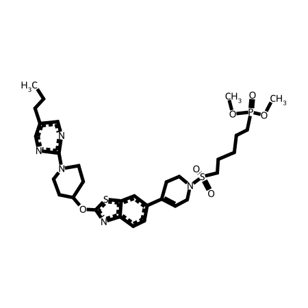 CCCc1cnc(N2CCC(Oc3nc4ccc(C5=CCN(S(=O)(=O)CCCCCP(=O)(OC)OC)CC5)cc4s3)CC2)nc1